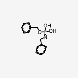 OP(O)(=NCc1ccccc1)OCc1ccccc1